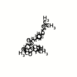 CO[C@H]1[C@H](C2(C)O[C@H]2CC=C(C)C)[C@]2(CC[C@H]1OC(=O)/C=C/c1ccc(OCCOC(C)C)cc1)CO2